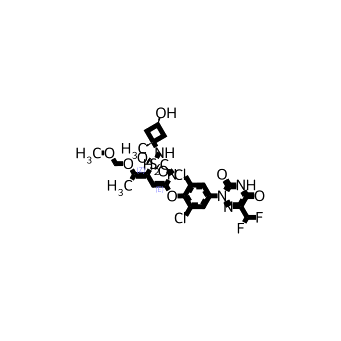 C=N/C(=C\C(=C(/C)OCOC)S(=O)(=O)N[C@]1(C)C[C@@H](O)C1)Oc1c(Cl)cc(-n2nc(C(F)F)c(=O)[nH]c2=O)cc1Cl